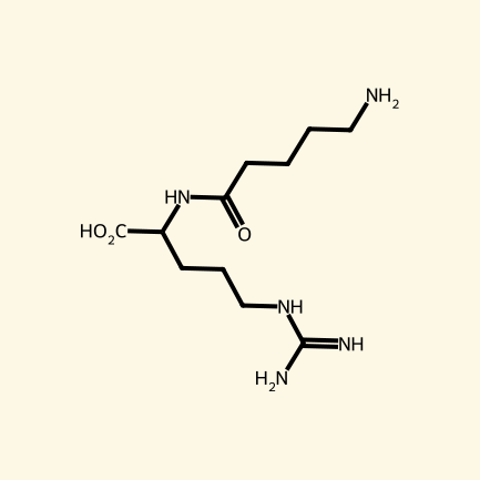 N=C(N)NCCCC(NC(=O)CCCCN)C(=O)O